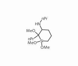 CCCNC1CCC[Si](OC)(OC)C1(CCC)OC